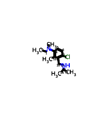 CCN(C)c1ccc(Cl)c(CNC(C)C)c1C